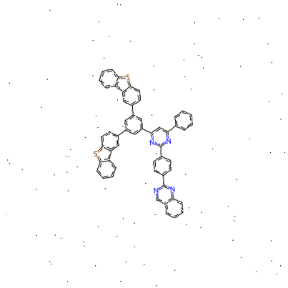 c1ccc(-c2cc(-c3cc(-c4ccc5sc6ccccc6c5c4)cc(-c4ccc5sc6ccccc6c5c4)c3)nc(-c3ccc(-c4ncc5ccccc5n4)cc3)n2)cc1